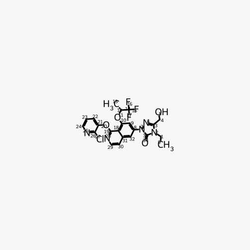 CCn1c(CO)nn(-c2cc(O[C@@H](C)C(F)(F)F)c3c(Oc4cccnc4Cl)nccc3c2)c1=O